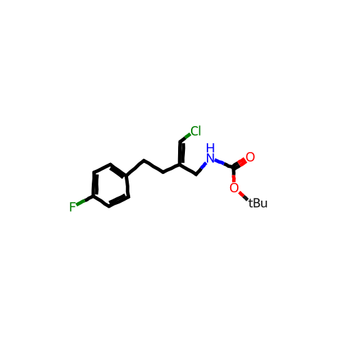 CC(C)(C)OC(=O)NCC(=CCl)CCc1ccc(F)cc1